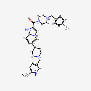 COC1=CC=C(CN2CCC(C3=CN4C=C(C(=O)N5CCN(Cc6ccc(C(F)(F)F)cc6)CC5)NC4C=C3)CC2)CN1